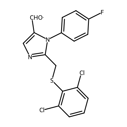 O=[C]c1cnc(CSc2c(Cl)cccc2Cl)n1-c1ccc(F)cc1